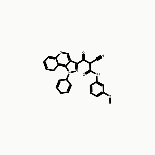 COc1cccc(NC(=O)C(C#N)C(=O)c2nn(C3C=CCC=C3)c3c2=COC2=CC=CCC=32)c1